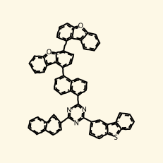 c1ccc2cc(-c3nc(-c4ccc5sc6ccccc6c5c4)nc(-c4cccc5c(-c6ccc(-c7cccc8oc9ccccc9c78)c7oc8ccccc8c67)cccc45)n3)ccc2c1